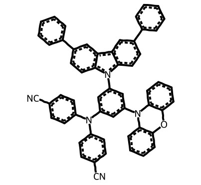 N#Cc1ccc(N(c2ccc(C#N)cc2)c2cc(N3c4ccccc4Oc4ccccc43)cc(-n3c4ccc(-c5ccccc5)cc4c4cc(-c5ccccc5)ccc43)c2)cc1